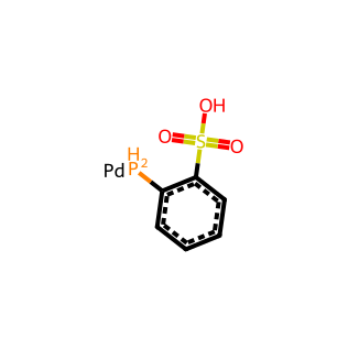 O=S(=O)(O)c1ccccc1P.[Pd]